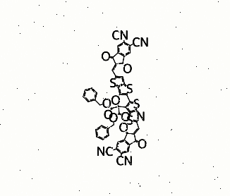 N#Cc1cc2c(cc1C#N)C(=O)C(=Cc1cc3sc4c(c3s1)OC(C(=O)OCc1ccccc1)(C(=O)OCc1ccccc1)c1c-4sc3nc(C=C4C(=O)c5cc(C#N)c(C#N)cc5C4=O)sc13)C2=O